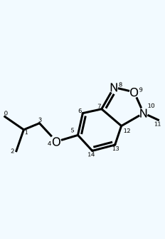 CC(C)COC1=CC2=NON(C)C2C=C1